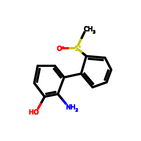 C[S+]([O-])c1ccccc1-c1cccc(O)c1N